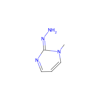 Cn1cccn/c1=N/N